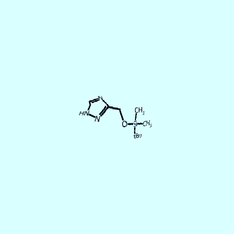 CC(C)(C)[Si](C)(C)OCc1nc[nH]n1